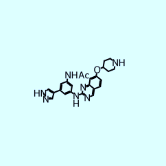 CC(=O)Nc1cc(Nc2ncc3ccc(OC4CCNCC4)cc3n2)cc(-c2cn[nH]c2)c1